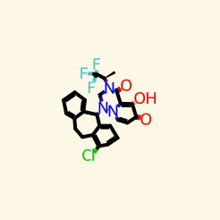 C[C@@H](N1CN(C2c3ccccc3CCc3c(Cl)cccc32)n2ccc(=O)c(O)c2C1=O)C(F)(F)F